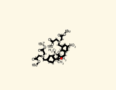 CN1c2cc(CN(CC(=O)OC(C)(C)C)CC(=O)OC(C)(C)C)ccc2C(C)(C)C12C=Cc1cc([N+](=O)[O-])cc(CN(CC(=O)OC(C)(C)C)CC(=O)OC(C)(C)C)c1O2